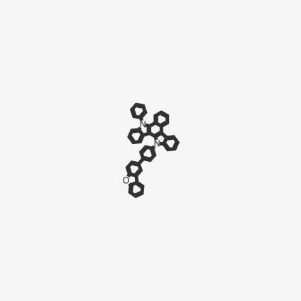 c1ccc(-n2c3ccccc3c3c2c2ccccc2c2c4ccccc4n(-c4ccc(-c5ccc6oc7ccccc7c6c5)cc4)c23)cc1